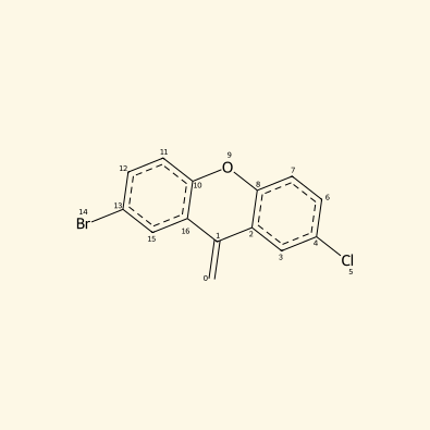 C=C1c2cc(Cl)ccc2Oc2ccc(Br)cc21